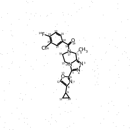 C[C@@H]1c2nnc(-c3nc(C4CC4)co3)n2CCN1C(=O)c1ccc(F)c(Cl)c1